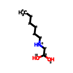 CCCCCCNCC(O)O